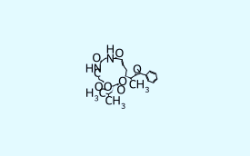 CC(C)C[C@@H]1OC(=O)CCNC(=O)CNC(=O)/C=C/C[C@@H](C(C)C2OC2c2ccccc2)OC1=O